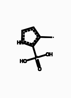 [CH2]c1cc[nH]c1P(=O)(O)O